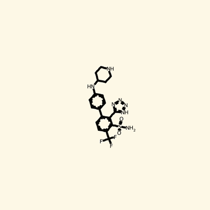 NS(=O)(=O)c1c(C(F)(F)F)ccc(-c2ccc(NC3CCNCC3)cc2)c1-c1nnn[nH]1